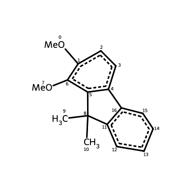 COc1ccc2c(c1OC)C(C)(C)c1ccccc1-2